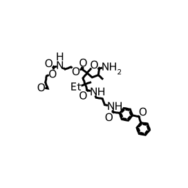 CCC(C)(CC(C)(CC(C)C(N)=O)C(=O)OCCNC(=O)OCC1CO1)C(=O)NCCCNC(=O)c1ccc(C(=O)c2ccccc2)cc1